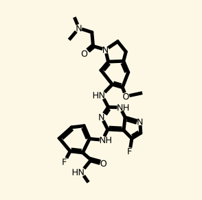 CNC(=O)c1c(F)cccc1Nc1nc(Nc2cc3c(cc2OC)CCN3C(=O)CN(C)C)[nH]c2ncc(F)c1-2